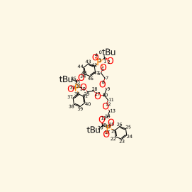 CC(C)(C)C(=O)P(=O)(OCCOCC(COCCOP(=O)(C(=O)C(C)(C)C)c1ccccc1)OCCOP(=O)(C(=O)C(C)(C)C)c1ccccc1)c1ccccc1